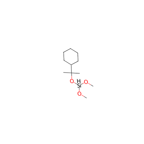 CO[SiH](OC)OC(C)(C)C1CCCCC1